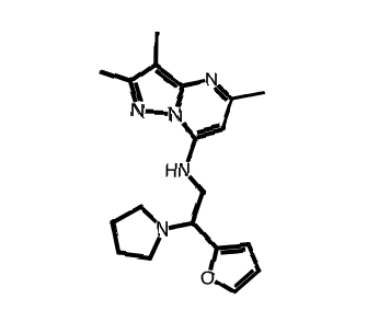 Cc1cc(NCC(c2ccco2)N2CCCC2)n2nc(C)c(C)c2n1